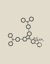 CC1(C)C2=C(C=CCC2)c2ccc(-n3c4ccc(-c5ccc(N(c6ccccc6)c6ccccc6)cc5)cc4c4cc(-c5ccc(N(c6ccccc6)c6ccccc6)cc5)ccc43)cc21